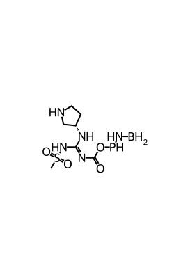 BNPOC(=O)/N=C(\N[C@H]1CCNC1)NS(C)(=O)=O